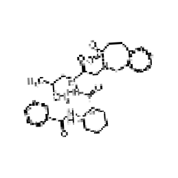 CC(C)C[C@H](NC(=O)[C@@H]1CCCC[C@@H]1NC(=O)c1ccccc1)C(=O)CN1Cc2ccccc2CCS1(=O)=O